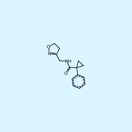 O=C(NCC1=NOCC1)C1(c2ccccc2)CC1